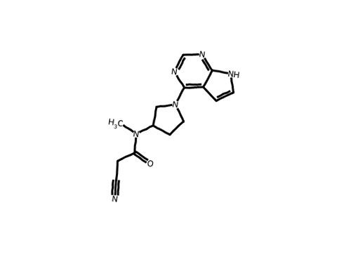 CN(C(=O)CC#N)C1CCN(c2ncnc3[nH]ccc23)C1